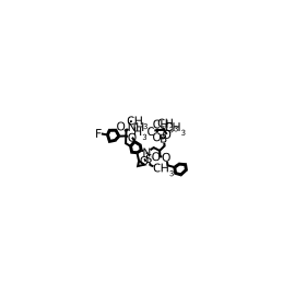 CCS(=O)(=O)N(CC(COCc1ccccc1)CB1OC(C)(C)C(C)(C)O1)c1cc2c(cc1C1CC1)CC(C(=O)NC)(c1ccc(F)cc1)O2